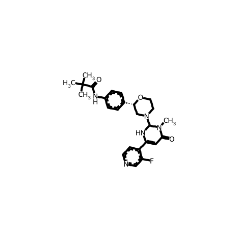 CN1C(=O)C=C(c2ccncc2F)NC1N1CCO[C@@H](c2ccc(NC(=O)C(C)(C)C)cc2)C1